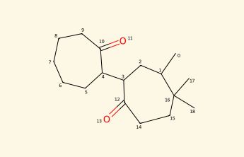 CC1CC(C2CCCCCC2=O)C(=O)CCC1(C)C